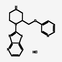 Cl.c1cncc(OCC2CNCCN2c2nc3ncccc3s2)c1